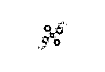 COc1cncc([C@H]2[C@@H](c3ccccc3)[C@@H](c3ccnc(OC)n3)[C@@H]2c2ccccc2)n1